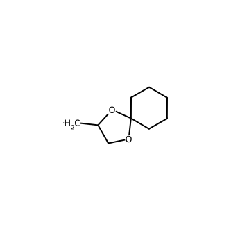 [CH2]C1COC2(CCCCC2)O1